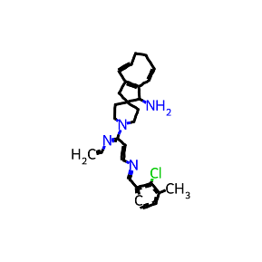 C=C\N=C(/C=C/N=C/c1cccc(C)c1Cl)N1CCC2(CC1)CC1=C(/C=C\CC/C=C/1)C2N